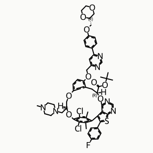 Cc1c(Cl)c2c(Cl)c(C)c1-c1c(-c3ccc(F)cc3)sc3ncnc(c13)O[C@@H](C(=O)OC(C)(C)C)Cc1cc(ccc1OCc1cc(-c3ccc(OC[C@H]4COCCO4)cc3)ncn1)OC[C@@H](CN1CCN(C)CC1)O2